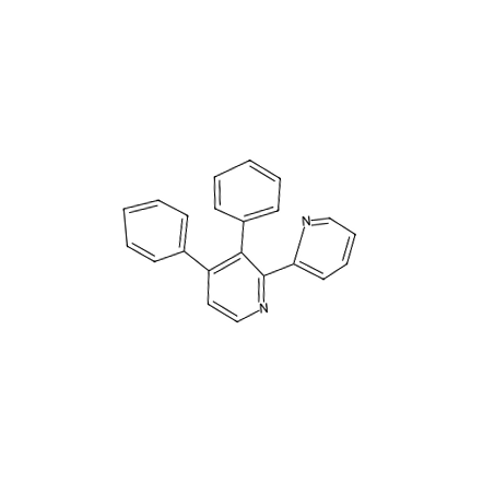 c1ccc(-c2ccnc(-c3ccccn3)c2-c2ccccc2)cc1